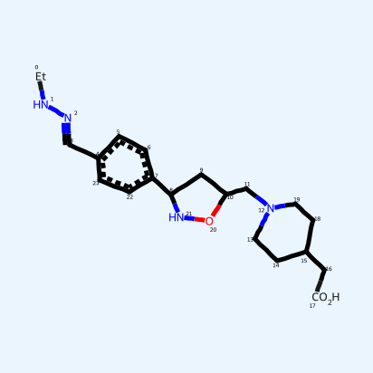 CCNN=Cc1ccc(C2CC(CN3CCC(CC(=O)O)CC3)ON2)cc1